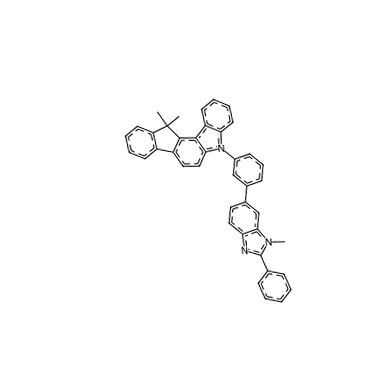 Cn1c(-c2ccccc2)nc2ccc(-c3cccc(-n4c5ccccc5c5c6c(ccc54)-c4ccccc4C6(C)C)c3)cc21